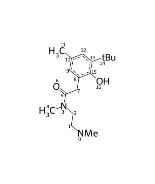 CNCCN(C)C(=O)Cc1cc(C)cc(C(C)(C)C)c1O